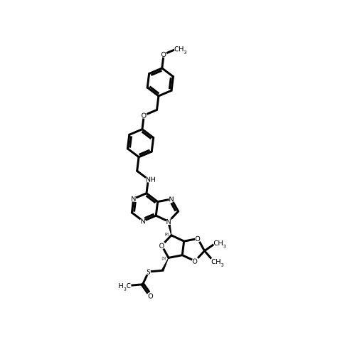 COc1ccc(COc2ccc(CNc3ncnc4c3ncn4[C@@H]3O[C@H](CSC(C)=O)C4OC(C)(C)OC43)cc2)cc1